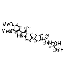 COc1ccc(-c2[nH]c3ccc(C4CCN(C(=O)CNCC(O)CO)CC4)cc3c2C(C)C)cc1OC